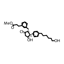 COC(=O)CCc1cccc(C[C@@H]2[C@@H](c3ccc(CCCCCCO)cc3)[C@H](O)C[C@H]2Cl)c1